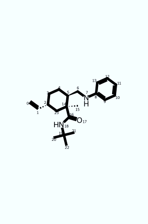 C=C[C@@H]1CC[C@@H](CNc2ccccc2)[C@@](C)(C(=O)NC(C)(C)C)C1